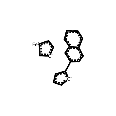 [Fe+2].c1c[cH-]c(-c2ccc3ccccc3c2)c1.c1cc[cH-]c1